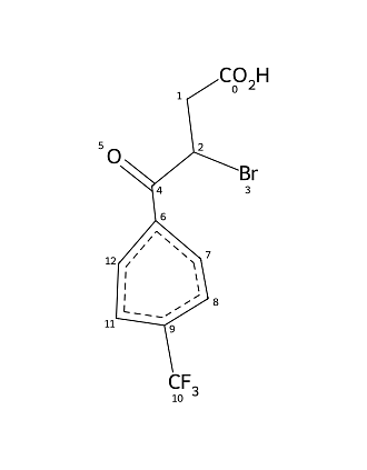 O=C(O)CC(Br)C(=O)c1ccc(C(F)(F)F)cc1